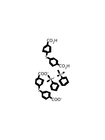 C[N+](C)(C)c1ccccc1.C[N+](C)(C)c1ccccc1.O=C(O)c1ccc(Sc2ccc(C(=O)O)cc2)cc1.O=C([O-])c1ccc(Sc2ccc(C(=O)[O-])cc2)cc1